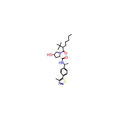 CCCCCC(C(=O)N1C[C@H](O)C[C@H]1C(=O)N[C@@H](C)c1ccc(-c2scnc2C)cc1)C(C)(C)C